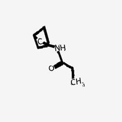 CCC(=O)NC12CC(C1)C2